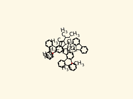 CCC(C)C1=Cc2c(ccc(C(C)C)c2-c2ccccc2-c2ccccc2)[CH]1[Zr]([Cl])([Cl])([c]1cccc2c1[SiH2]c1ccccc1-2)[CH]1C(C(C)CC)=Cc2c1ccc(C(C)C)c2-c1ccccc1-c1ccccc1